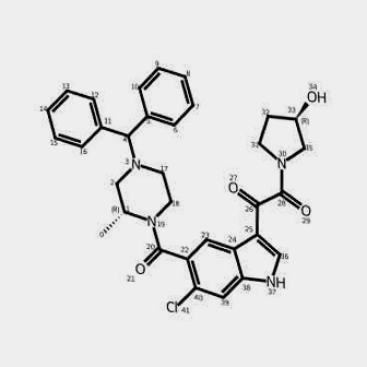 C[C@@H]1CN(C(c2ccccc2)c2ccccc2)CCN1C(=O)c1cc2c(C(=O)C(=O)N3CC[C@@H](O)C3)c[nH]c2cc1Cl